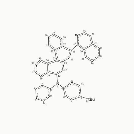 CC(C)(C)c1ccc(N(c2ccccc2)c2cc3cc(-c4cccc5ccccc45)c4ccccc4c3c3ccccc23)cc1